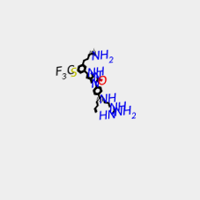 C=CCC[C@H](NCCCNC(=N)N)c1ccc(-n2cc3cc(-c4cc(CCC[C@H](C)N)cc(SC(F)(F)F)c4)[nH]c3nc2=O)cc1